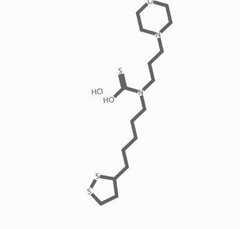 Cl.OC(=S)N(CCCCCC1CCSS1)CCCN1CCOCC1